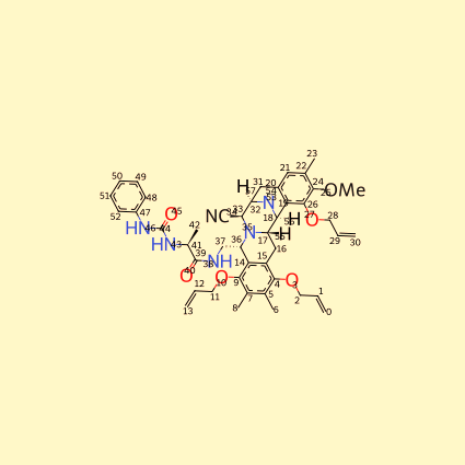 C=CCOc1c(C)c(C)c(OCC=C)c2c1C[C@H]1[C@@H]3c4c(cc(C)c(OC)c4OCC=C)C[C@H]([C@H](C#N)N1[C@H]2CNC(=O)[C@H](C)NC(=O)Nc1ccccc1)N3C